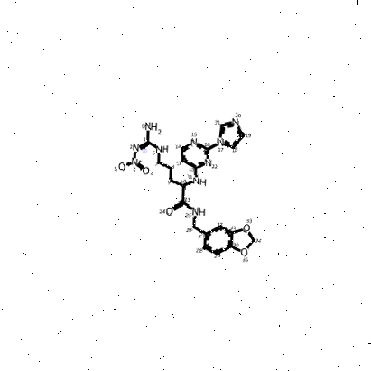 N/C(=N/[N+](=O)[O-])NCCCC(Nc1ccnc(-n2ccnc2)n1)C(=O)NCc1ccc2c(c1)OCO2